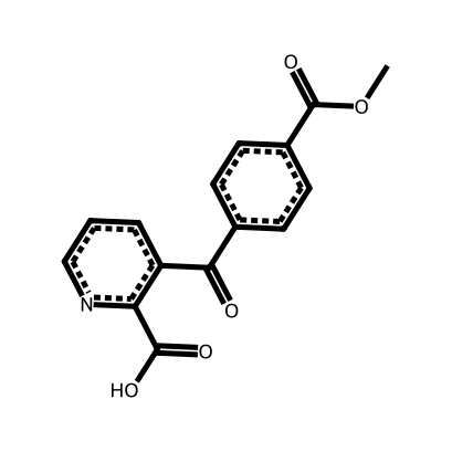 COC(=O)c1ccc(C(=O)c2cccnc2C(=O)O)cc1